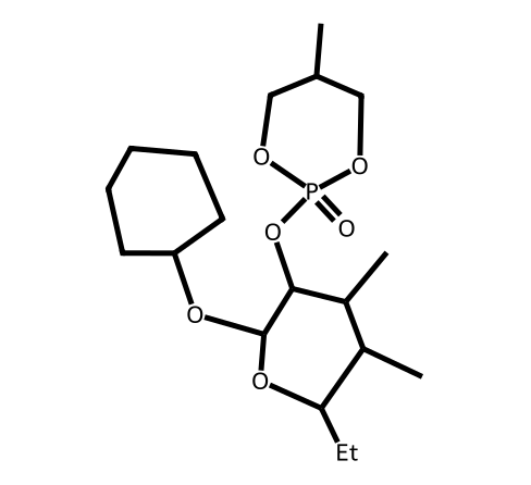 CCC1OC(OC2CCCCC2)C(OP2(=O)OCC(C)CO2)C(C)C1C